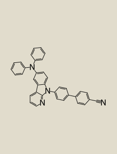 N#Cc1ccc(-c2ccc(-n3c4ccc(N(c5ccccc5)c5ccccc5)cc4c4cccnc43)cc2)cc1